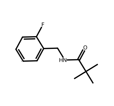 CC(C)(C)C(=O)NCc1c[c]ccc1F